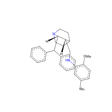 COc1ccc(C(C)(C)C)cc1NC[C@H]1C2CCN(CC2)[C@H]1C(c1ccccc1)c1ccccc1